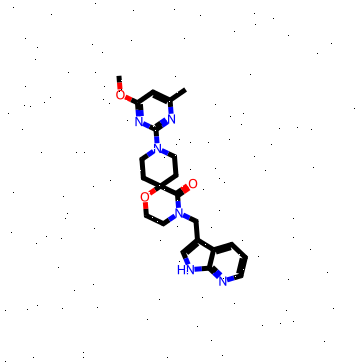 COc1cc(C)nc(N2CCC3(CC2)OCCN(Cc2c[nH]c4ncccc24)C3=O)n1